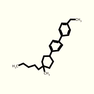 CCCCCC1(C)CCC(c2ccc(-c3ccc(CC)cc3)cc2)CC1